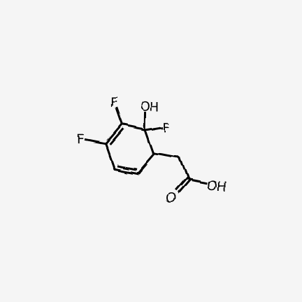 O=C(O)CC1C=CC(F)=C(F)C1(O)F